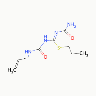 C=CCNC(=O)NC(=NC(N)=O)SCCC